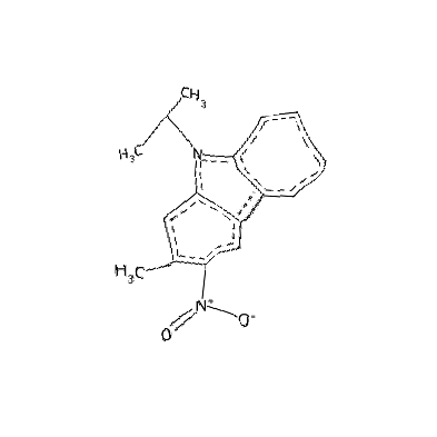 Cc1cc2c(cc1[N+](=O)[O-])c1ccccc1n2C(C)C